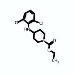 CCOC(=O)N1CCC(Nc2c(Cl)cccc2Cl)CC1